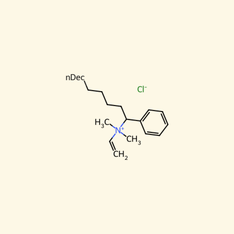 C=C[N+](C)(C)C(CCCCCCCCCCCCCC)c1ccccc1.[Cl-]